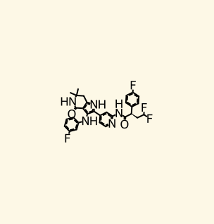 CC1(C)Cc2[nH]c(-c3ccnc(NC(=O)[C@H](CC(F)F)c4ccc(F)cc4)c3)c(Nc3cccc(F)c3)c2C(=O)N1